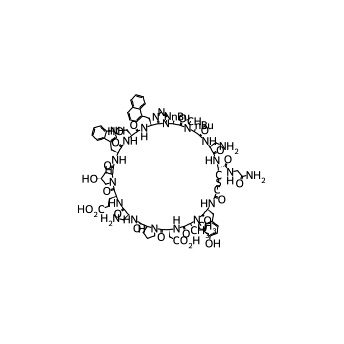 CCCC[C@H]1C(=O)N[C@@H](CN)C(=O)N[C@H](C(=O)NCC(N)=O)CSCC(=O)N[C@@H](Cc2ccc(O)cc2)C(=O)N(C)[C@@H](C)C(=O)N[C@@H](CC(=O)O)C(=O)N2CCC[C@H]2C(=O)N[C@@H](CN)C(=O)N[C@@H](CCC(=O)O)C(=O)N2C[C@H](O)C[C@H]2C(=O)N[C@@H](Cc2c[nH]c3ccccc23)C(=O)N[C@@H](CO)C(=O)N[C@@H](Cc2cccc3ccccc23)c2nnnn2[C@@H](CCCC)C(=O)N1C